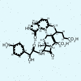 Nc1ccc(C(O)C(=O)NC2C(=O)N3C(C(=O)O)=C(C(CCC(=O)O)Sc4ccc5n[nH]c(=O)n5n4)CS[C@@H]23)cc1